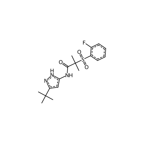 CC(C)(C)c1cc(NC(=O)C(C)(C)S(=O)(=O)c2ccccc2F)[nH]n1